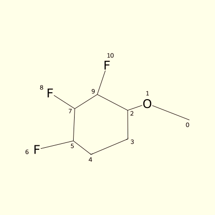 COC1CCC(F)C(F)C1F